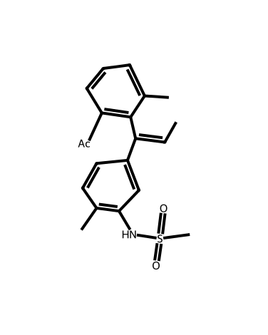 C/C=C(/c1ccc(C)c(NS(C)(=O)=O)c1)c1c(C)cccc1C(C)=O